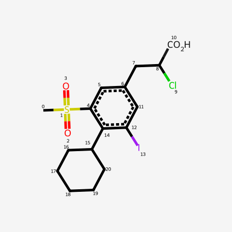 CS(=O)(=O)c1cc(CC(Cl)C(=O)O)cc(I)c1C1CCCCC1